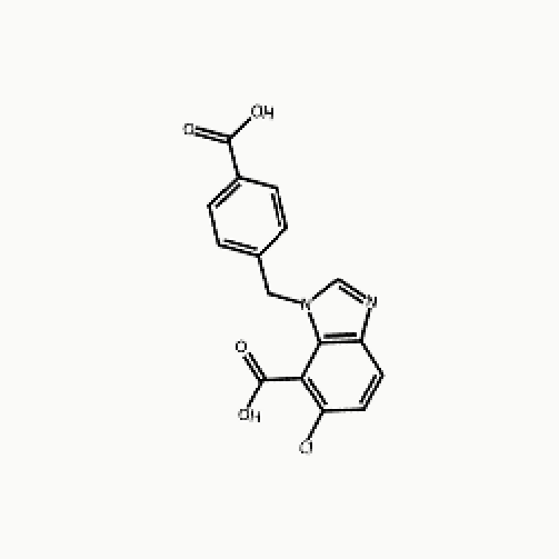 O=C(O)c1ccc(Cn2cnc3ccc(Cl)c(C(=O)O)c32)cc1